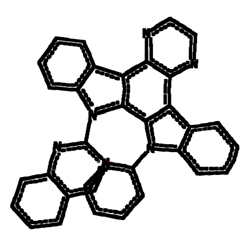 c1ccc(-n2c3ccccc3c3c4nccnc4c4c5ccccc5n(-c5ncc6ccccc6n5)c4c32)cc1